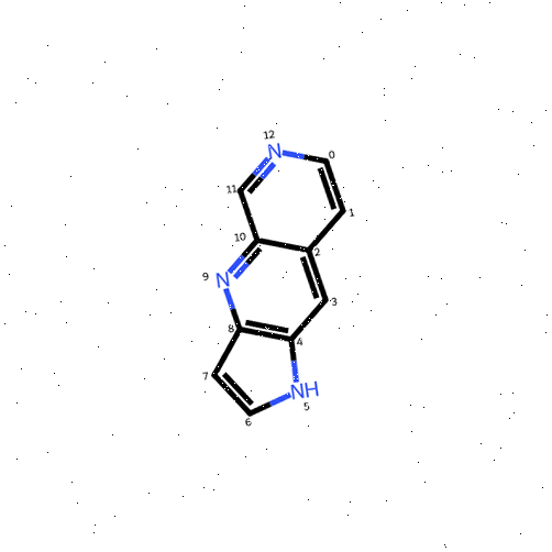 c1cc2cc3[nH]ccc3nc2cn1